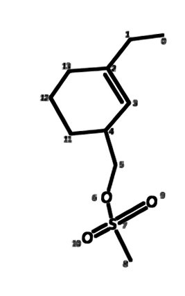 CCC1=CC(COS(C)(=O)=O)CCC1